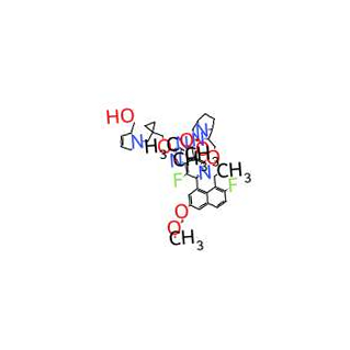 CCc1c(F)ccc2cc(OCOC)cc(-c3nc4c5c(nc(OCC6(CN7CC=CC7CO)CC6)nc5c3F)N3CC5CCC(C3CO4)N5C(=O)OC(C)(C)C)c12